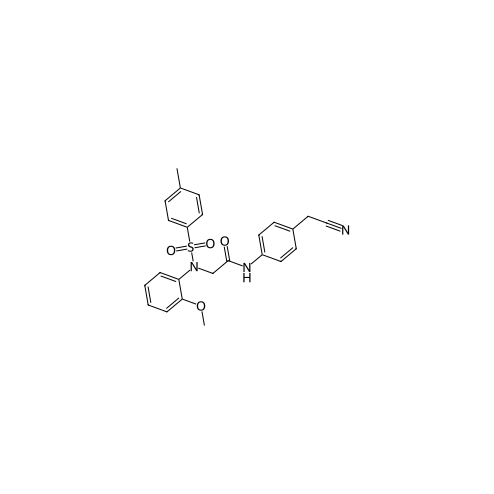 COc1ccccc1N(CC(=O)Nc1ccc(CC#N)cc1)S(=O)(=O)c1ccc(C)cc1